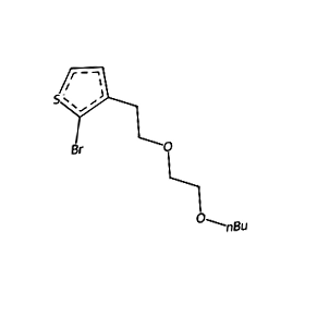 CCCCOCCOCCc1ccsc1Br